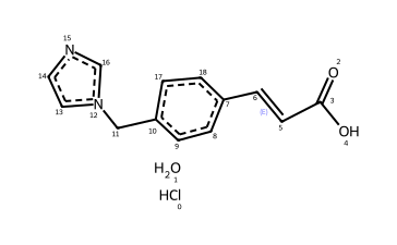 Cl.O.O=C(O)/C=C/c1ccc(Cn2ccnc2)cc1